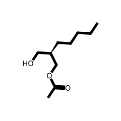 CCCCC[C@H](CO)COC(C)=O